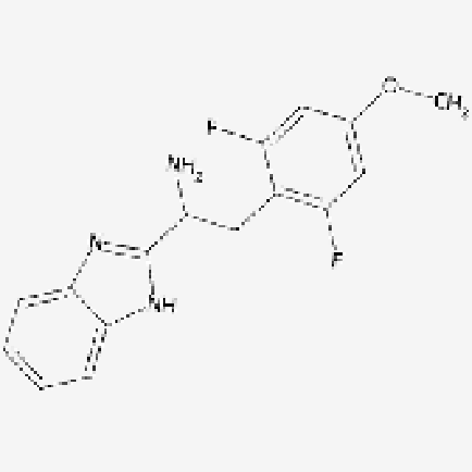 COc1cc(F)c(CC(N)c2nc3ccccc3[nH]2)c(F)c1